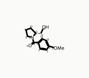 COc1ccc(C(=O)N2CCC[C@@H]2CO)cc1